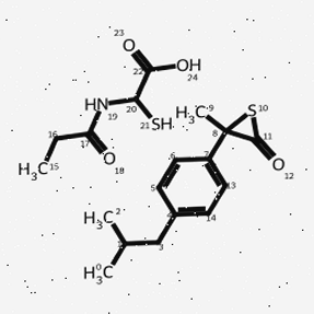 CC(C)Cc1ccc(C2(C)SC2=O)cc1.CCC(=O)NC(S)C(=O)O